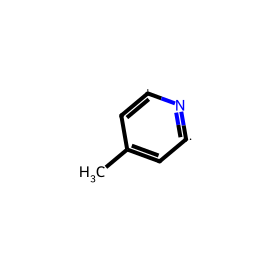 Cc1c[c]n[c]c1